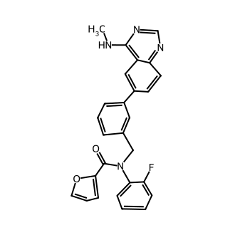 CNc1ncnc2ccc(-c3cccc(CN(C(=O)c4ccco4)c4ccccc4F)c3)cc12